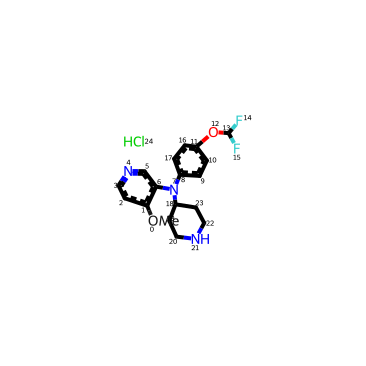 COc1ccncc1N(c1ccc(OC(F)F)cc1)C1CCNCC1.Cl